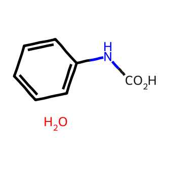 O.O=C(O)Nc1ccccc1